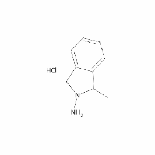 CC1c2ccccc2CN1N.Cl